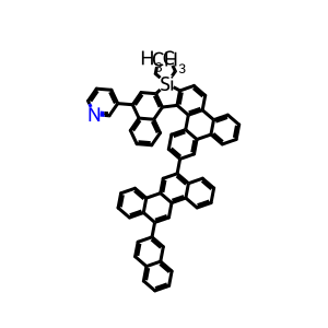 CC[Si]1(CC)c2cc(-c3cccnc3)c3ccccc3c2-c2c1ccc1c3ccccc3c3cc(-c4cc5c6ccccc6c(-c6ccc7ccccc7c6)cc5c5ccccc45)ccc3c21